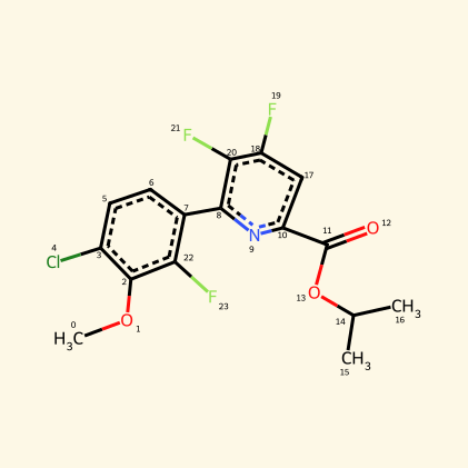 COc1c(Cl)ccc(-c2nc(C(=O)OC(C)C)cc(F)c2F)c1F